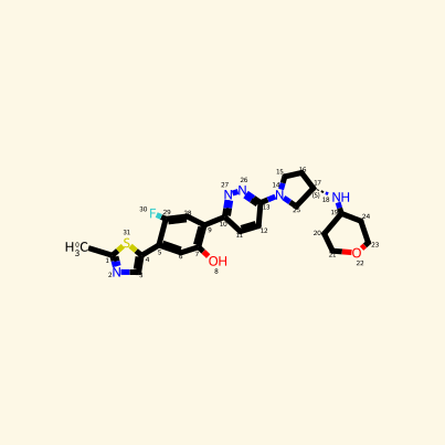 Cc1ncc(-c2cc(O)c(-c3ccc(N4CC[C@H](NC5CCOCC5)C4)nn3)cc2F)s1